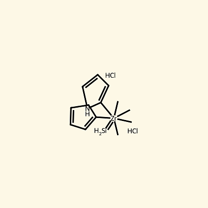 Cl.Cl.[CH3][Zr]([CH3])([CH3])([CH3])(=[SiH2])([C]1=CC=CC1)[c]1ccc[nH]1